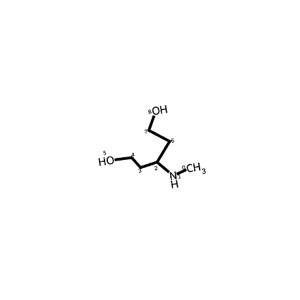 CNC(CCO)CCO